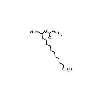 C=CC(=O)OC(CCCCCC)CCCCCCCCCCC(=O)O